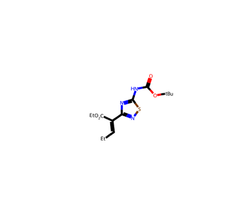 CCC=C(C(=O)OCC)c1nsc(NC(=O)OC(C)(C)C)n1